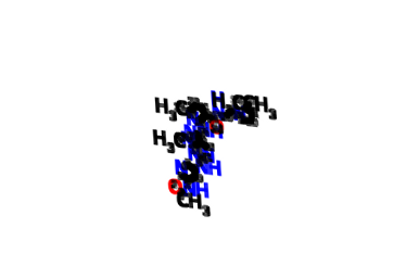 CC(=O)Nc1cncc(Nc2ncc3c(Nc4nc(C)ccc4C(=O)NCCN4CCCC4(C)C)nn(C)c3n2)c1